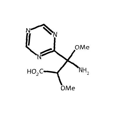 COC(C(=O)O)C(N)(OC)c1ncncn1